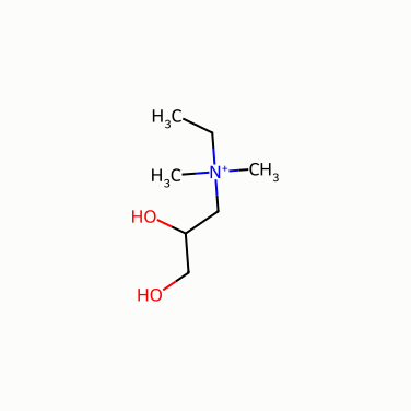 CC[N+](C)(C)CC(O)CO